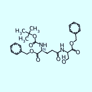 CC(C)(C)OC(=O)N[C@@H](CCC(=O)NC(CO)C(=O)OCc1ccccc1)C(=O)OCc1ccccc1